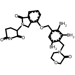 Bc1cc(COc2cccc3c2CN(C2CCC(=O)NC2=O)C3=O)c(B)c(B)c1CN1CCOCC1=O